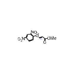 COC(=O)/C=C/Oc1ccc([N+](=O)[O-])cc1[N+](=O)[O-]